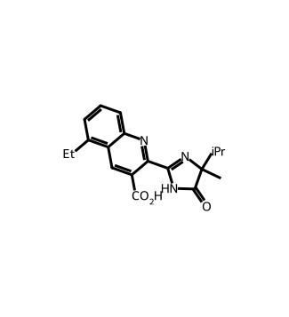 CCc1cccc2nc(C3=NC(C)(C(C)C)C(=O)N3)c(C(=O)O)cc12